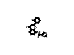 Cc1ccccc1-c1cc(=O)c2cccc(NC(=O)c3cscn3)c2o1